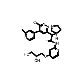 Cc1cc(-c2cc3[n+](nc2Cl)N2CC[C@H](C2)C3C(=O)Nc2cc(OC[C@H](O)CO)ccn2)ccn1